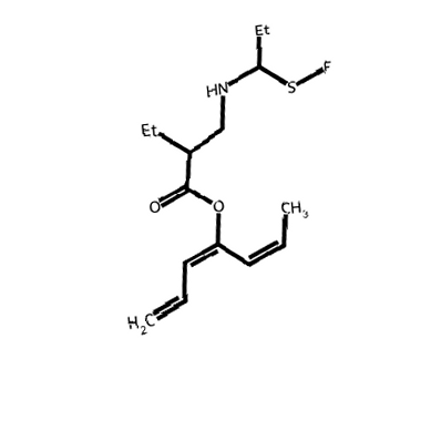 C=C/C=C(\C=C/C)OC(=O)C(CC)CNC(CC)SF